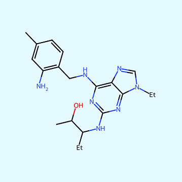 CCC(Nc1nc(NCc2ccc(C)cc2N)c2ncn(CC)c2n1)C(C)O